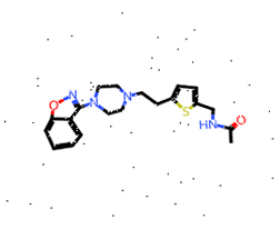 CC(=O)NCc1ccc(CCN2CCN(c3noc4ccccc34)CC2)s1